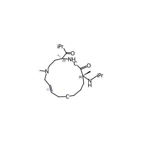 CC(C)N[C@]1(C)CCCCC/C=C/CN(C)CC[C@@](C)(C(=O)C(C)C)NCC1=O